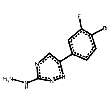 NNc1ncc(-c2ccc(Br)c(F)c2)nn1